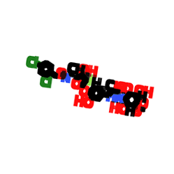 CC(=Cc1ccc(O[C@@H]2O[C@H](C(C)=NOCc3ccc(Cl)cc3Cl)[C@@H](O)[C@H]2F)c(O)c1)C(=O)N[C@@H]1[C@H](O)[C@@H](O)[C@H]2OCO[C@H]2[C@@H]1O